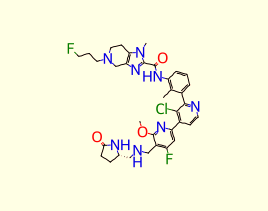 COc1nc(-c2ccnc(-c3cccc(NC(=O)c4nc5c(n4C)CCN(CCCF)C5)c3C)c2Cl)cc(F)c1CNC[C@@H]1CCC(=O)N1